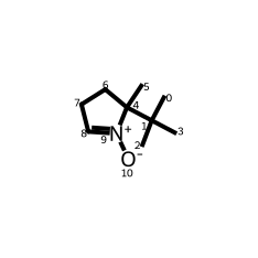 CC(C)(C)C1(C)CCC=[N+]1[O-]